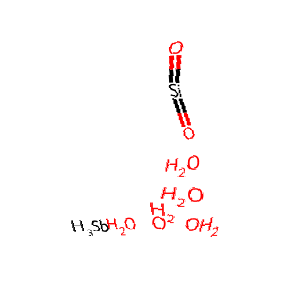 O.O.O.O.O.O=[Si]=O.[SbH3]